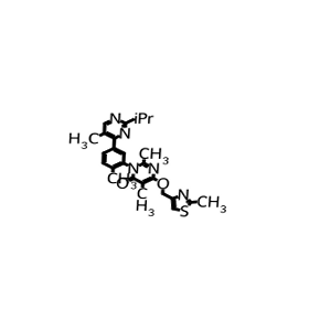 Cc1nc(COc2nc(C)n(-c3cc(-c4nc(C(C)C)ncc4C)ccc3C)c(=O)c2C)cs1